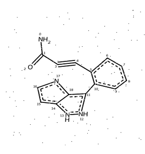 NC(=O)C#Cc1ccccc1-c1[nH][nH]c2ccnc1-2